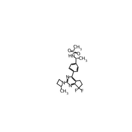 C[C@H](NS(C)(=O)=O)c1ccc(-c2nc(N3CC[C@@H]3C)nc3c2CCC3(F)F)cc1